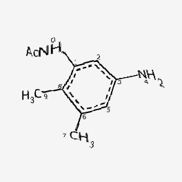 CC(=O)Nc1cc(N)cc(C)c1C